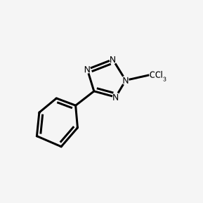 ClC(Cl)(Cl)n1nnc(-c2ccccc2)n1